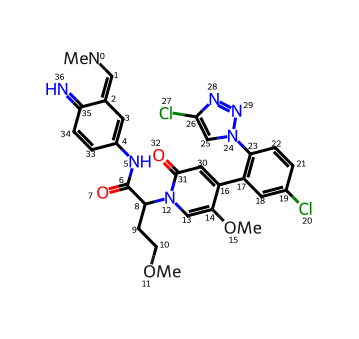 CN/C=C1/C=C(NC(=O)C(CCOC)n2cc(OC)c(-c3cc(Cl)ccc3-n3cc(Cl)nn3)cc2=O)C=CC1=N